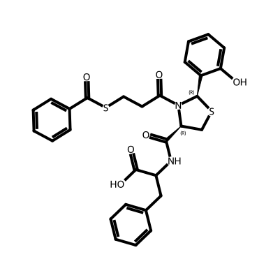 O=C(SCCC(=O)N1[C@@H](c2ccccc2O)SC[C@H]1C(=O)NC(Cc1ccccc1)C(=O)O)c1ccccc1